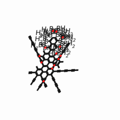 BBB(B)B(B(B)B)c1c(B(B(B)B)B(B)B)c(B(BB)B(B)B)c(B(B)B(B)B)c2c(C)c(-c3c(C)c(C)c(C)c4c(-c5c(C#CC#CC#CC#CC#C)c6c(C)c(C#C)c(C#CC)c(C#CC#C)c6c6c(C#CC#CC)c(C#CC#CC#C)c(C#CC#CC#CC)c(C#CC#CC#CC#C)c56)c5c(C)c(C)c(C)c(C)c5c(C)c34)c(BB)c(B)c12